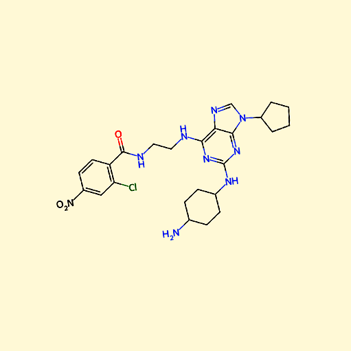 NC1CCC(Nc2nc(NCCNC(=O)c3ccc([N+](=O)[O-])cc3Cl)c3ncn(C4CCCC4)c3n2)CC1